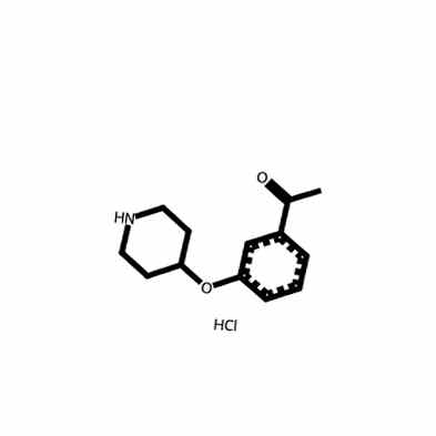 CC(=O)c1cccc(OC2CCNCC2)c1.Cl